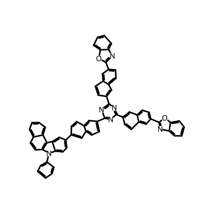 c1ccc(-n2c3ccc(-c4ccc5cc(-c6nc(-c7ccc8cc(-c9nc%10ccccc%10o9)ccc8c7)nc(-c7ccc8cc(-c9nc%10ccccc%10o9)ccc8c7)n6)ccc5c4)cc3c3c4ccccc4ccc32)cc1